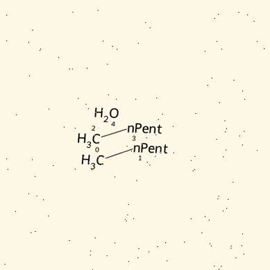 CCCCCC.CCCCCC.O